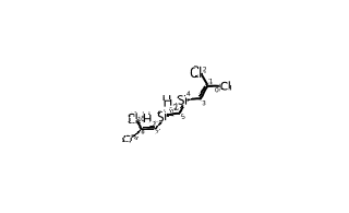 ClC(Cl)=C[SiH2]C[SiH2]C=C(Cl)Cl